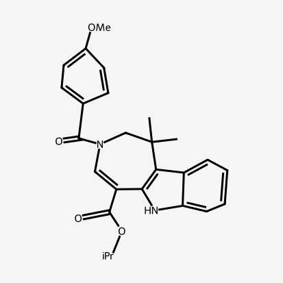 COc1ccc(C(=O)N2C=C(C(=O)OC(C)C)c3[nH]c4ccccc4c3C(C)(C)C2)cc1